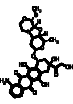 CO[C@H]1OCCN2C3C[C@H](O[C@H]4C[C@](O)(C(=O)CO)Cc5c(O)c6c(c(O)c54)C(=O)c4c(N)cccc4C6=O)O[C@@H](C)[C@H]3O[C@H]12